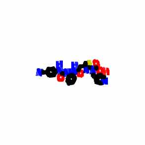 N#Cc1ccc(NC(=O)Nc2ccccc2NC(=O)Cc2csc(N(Cc3ccncc3)C(=O)O)n2)cc1